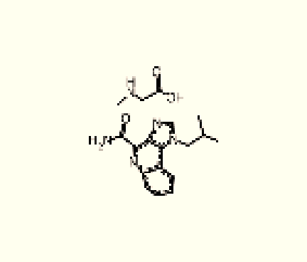 CC(C)Cn1cnc2c(C(N)=O)nc3ccccc3c21.CNCC(=O)O